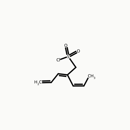 C=C/C=C(\C=C/C)CS(=O)(=O)Cl